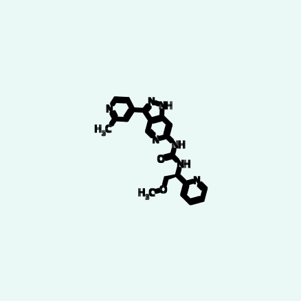 COC[C@@H](NC(=O)Nc1cc2[nH]nc(-c3ccnc(C)c3)c2cn1)c1ccccn1